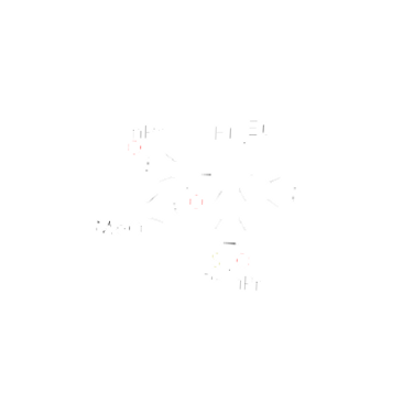 CCCOc1ccc(C2(c3ccc(OC)cc3)C=Cc3c4c(c5cc6c(cc5c3O2)SC(C(C)C)(C(C)C)O6)-c2ccccc2C42CCC(CC)(CC)CC2)cc1